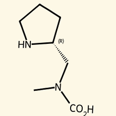 CN(C[C@H]1CCCN1)C(=O)O